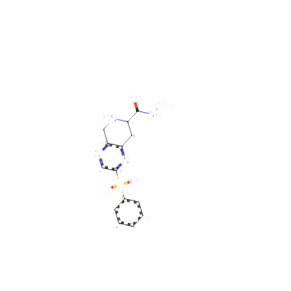 O=C(NO)C1Cc2nc(S(=O)(=O)c3ccccc3)cnc2CN1